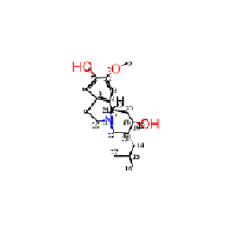 COc1cc2c(cc1O)CCN1C[C@@H](CC(C)C)[C@H](O)C[C@@H]21